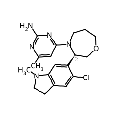 Cc1cc(N2CCCOC[C@H]2c2cc3c(cc2Cl)CCN3C)nc(N)n1